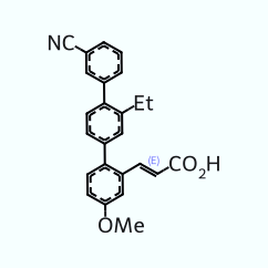 CCc1cc(-c2ccc(OC)cc2/C=C/C(=O)O)ccc1-c1cccc(C#N)c1